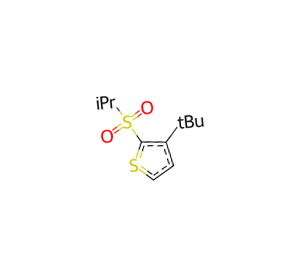 CC(C)S(=O)(=O)c1sccc1C(C)(C)C